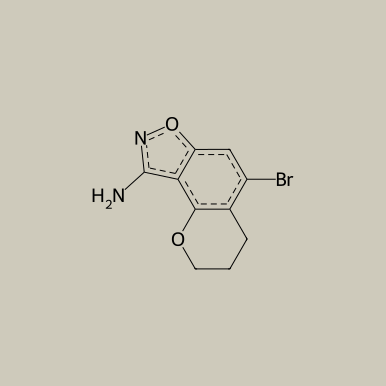 Nc1noc2cc(Br)c3c(c12)OCCC3